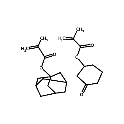 C=C(C)C(=O)OC12CC3CC(CC(C3)C1)C2.C=C(C)C(=O)OC1CCCC(=O)C1